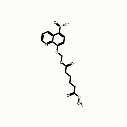 COC(=O)CCCCC(=O)OCOc1ccc([N+](=O)[O-])c2cccnc12